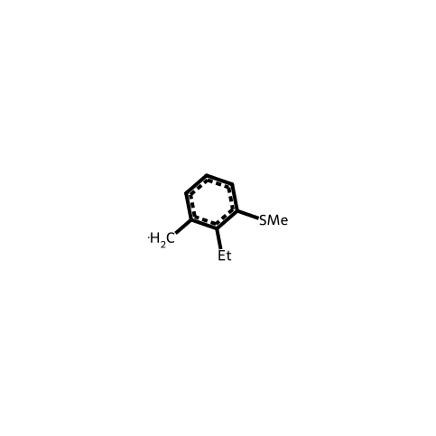 [CH2]c1cccc(SC)c1CC